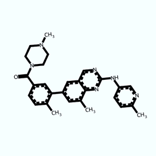 Cc1ccc(Nc2ncc3cc(-c4cc(C(=O)N5CCN(C)CC5)ccc4C)cc(C)c3n2)cn1